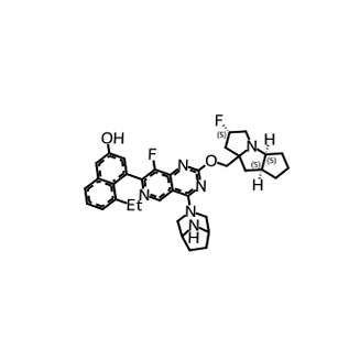 CCc1cccc2cc(O)cc(-c3ncc4c(N5CC6CCC(C5)N6)nc(OCC56C[C@H](F)CN5[C@H]5CCC[C@H]5C6)nc4c3F)c12